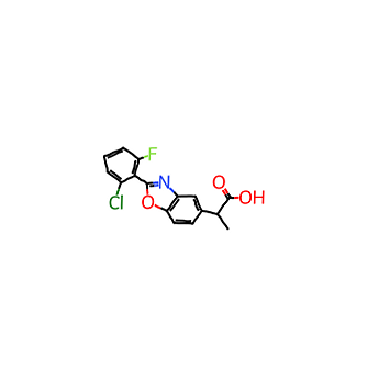 CC(C(=O)O)c1ccc2oc(-c3c(F)cccc3Cl)nc2c1